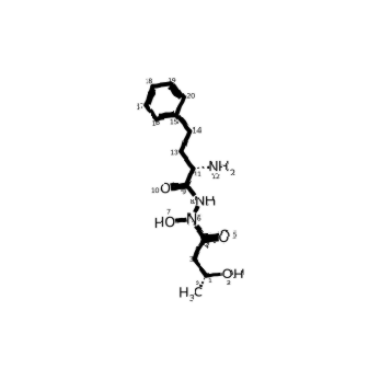 C[C@@H](O)CC(=O)N(O)NC(=O)[C@@H](N)CCc1ccccc1